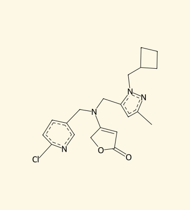 Cc1cc(CN(Cc2ccc(Cl)nc2)C2=CC(=O)OC2)n(CC2CCC2)n1